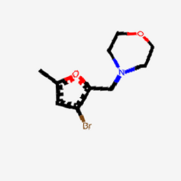 Cc1cc(Br)c(CN2CCOCC2)o1